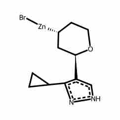 [Br][Zn][C@@H]1CCO[C@@H](c2c[nH]nc2C2CC2)C1